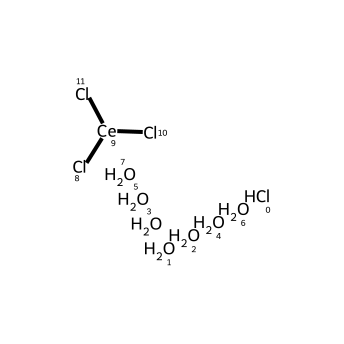 Cl.O.O.O.O.O.O.O.[Cl][Ce]([Cl])[Cl]